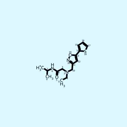 CCN(CC(=O)NC(C)C)Cc1cc(-c2cccs2)on1